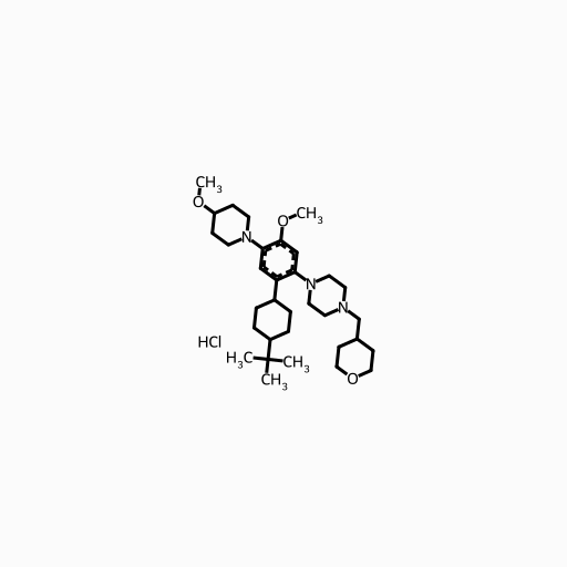 COc1cc(N2CCN(CC3CCOCC3)CC2)c(C2CCC(C(C)(C)C)CC2)cc1N1CCC(OC)CC1.Cl